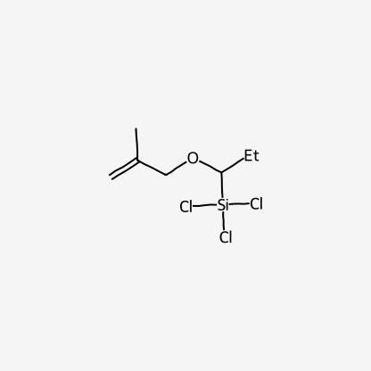 C=C(C)COC(CC)[Si](Cl)(Cl)Cl